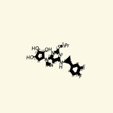 CCCSc1nc(N[C@@H]2C=C2c2ccc(F)c(F)c2)c2ncn([C@@H]3C[C@H](O)[C@@H](O)[C@H]3O)c2n1